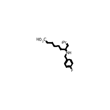 CC(C)CC(CCCCCC(=O)O)NCc1ccc(F)cc1